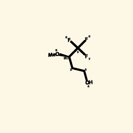 CO[C@H](CCO)C(F)(F)F